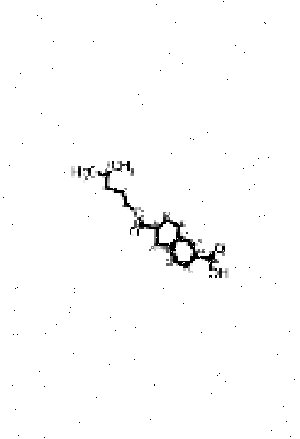 CC(C)CCCOC(=O)C1CCc2cc(C(=O)O)ccc2C1